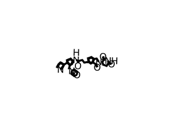 O=C1CCC(N2Cc3ccc(CCC(=O)Nc4ccc(-c5cccnc5)c(CN5C=COC=C5)c4)cc3C2=O)C(=O)N1